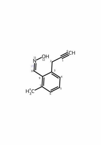 C#CCc1cc[c]c(C)c1/C=N\O